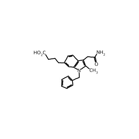 Cc1c(CC(N)=O)c2ccc(CCCC(=O)O)cc2n1Cc1ccccc1